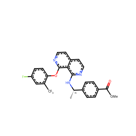 COC(=O)c1ccc([C@H](C)Nc2nccc3ccnc(Oc4ccc(F)cc4C(F)(F)F)c23)cc1